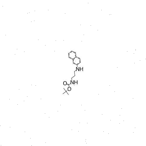 CC(C)(C)OC(=O)NCCCNc1ccc2ccccc2c1